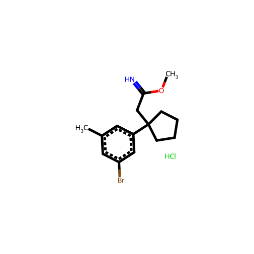 COC(=N)CC1(c2cc(C)cc(Br)c2)CCCC1.Cl